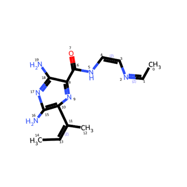 C/C=N\C=C/NC(=O)c1nc(/C(C)=C\C)c(N)nc1N